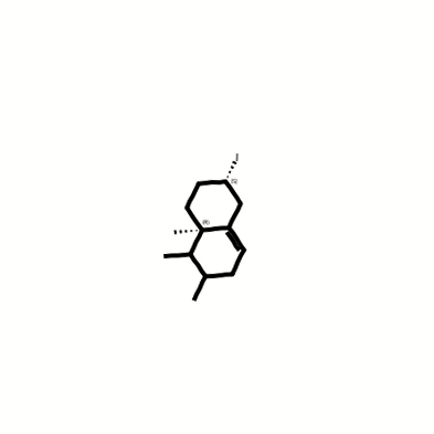 CC1CC=C2C[C@@H](I)CC[C@]2(C)C1C